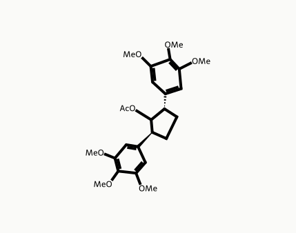 COc1cc([C@@H]2CC[C@@H](c3cc(OC)c(OC)c(OC)c3)C2OC(C)=O)cc(OC)c1OC